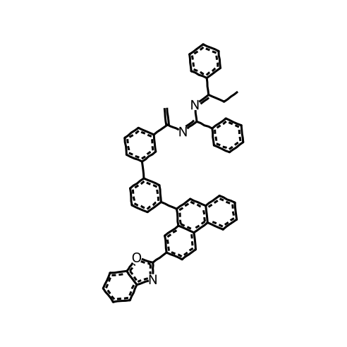 C=C(/N=C(\N=C(/CC)c1ccccc1)c1ccccc1)c1cccc(-c2cccc(-c3cc4ccccc4c4ccc(-c5nc6ccccc6o5)cc34)c2)c1